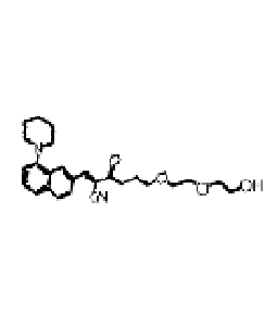 N#C/C(=C\c1ccc2cccc(N3CCCCC3)c2c1)C(=O)CCCOCCOCCO